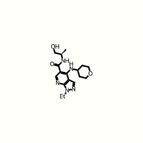 CCn1ncc2c(NC3CCOCC3)c(C(=O)N[C@H](C)CO)cnc21